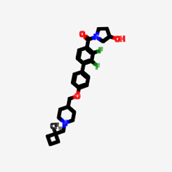 O=C(c1ccc(-c2ccc(OCC3CCN(CC4(C(F)(F)F)CCC4)CC3)cc2)c(F)c1F)N1CCC(O)C1